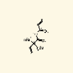 C=CC(=O)OC(=O)C(C=C)(CCCC)CCCC